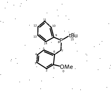 COc1ccccc1CP(c1ccccc1)C(C)(C)C